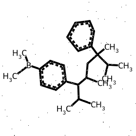 CB(C)c1ccc(C(C(C)C)C(C)CC(C)(c2ccccc2)C(C)C)cc1